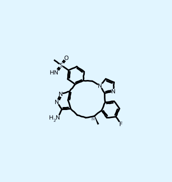 C[C@H]1CCc2cc(nnc2N)-c2cc(S(C)(=N)=O)ccc2Cn2ccnc2-c2ccc(F)cc21